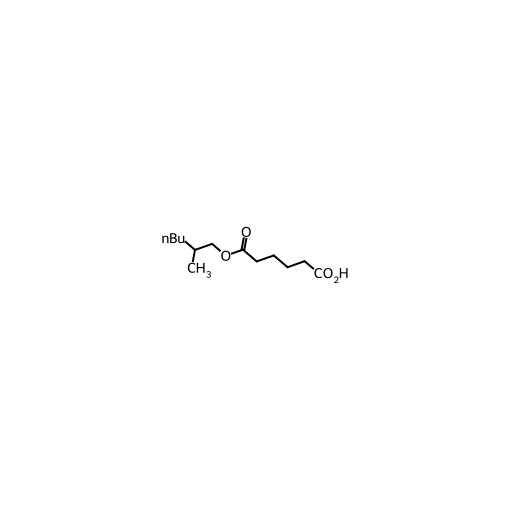 CCCCC(C)COC(=O)CCCCC(=O)O